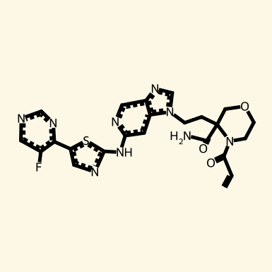 C=CC(=O)N1CCOCC1(CCn1cnc2cnc(Nc3ncc(-c4ncncc4F)s3)cc21)C(N)=O